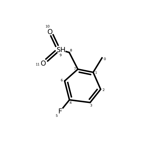 Cc1ccc(F)cc1C[SH](=O)=O